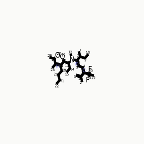 C=C(C)/C(=C\C=C(/C(C)CC)N(C)C(CC)C(=O)/C(CCCC)=C(/C)C(C)=O)C(C)(F)F